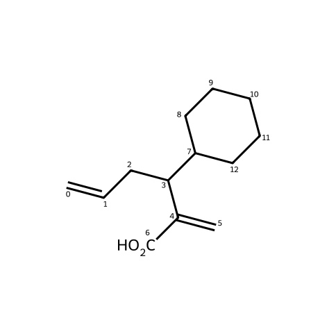 C=CCC(C(=C)C(=O)O)C1CCCCC1